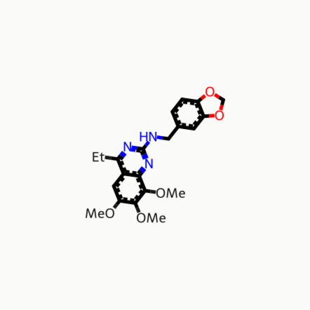 CCc1nc(NCc2ccc3c(c2)OCO3)nc2c(OC)c(OC)c(OC)cc12